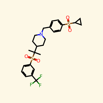 CC(C)(C1CCN(Cc2ccc(S(=O)(=O)C3CC3)cc2)CC1)S(=O)(=O)c1cccc(C(F)(F)F)c1